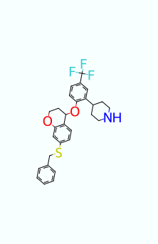 FC(F)(F)c1ccc(OC2CCOc3cc(SCc4ccccc4)ccc32)c(C2CCNCC2)c1